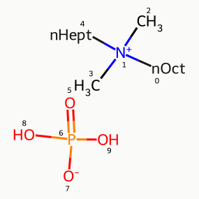 CCCCCCCC[N+](C)(C)CCCCCCC.O=P([O-])(O)O